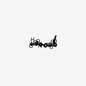 CCCCOC(=O)c1ccccc1NC(=O)OCc1ccc(-c2ccc(N3C[C@H](CNC(C)=O)OC3=O)nc2)cc1